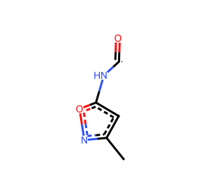 Cc1cc(N[C]=O)on1